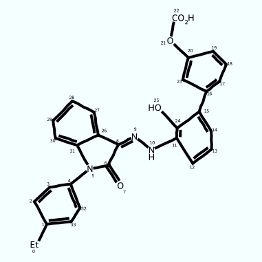 CCc1ccc(N2C(=O)C(=NNc3cccc(-c4cccc(OC(=O)O)c4)c3O)c3ccccc32)cc1